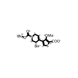 COc1c(C2=CCN(C(=O)OC(C)(C)C)CC2)csc1C(=O)[O-].[Na+]